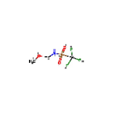 COCNS(=O)(=O)C(F)(F)F